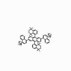 CC1(C)CCC(C)(C)c2c(-c3c4ccc(-c5ccc([Si](C)(C)C)c6ccccc56)cc4c(-c4cccc5c4C(C)(C)CCC5(C)C)c4ccc(-c5ccc([Si](C)(C)C)c6ccccc56)cc34)cccc21